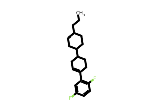 CCCC1CCC(C2CC=C(c3cc(F)ccc3F)CC2)CC1